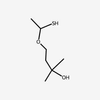 CC(S)OCCC(C)(C)O